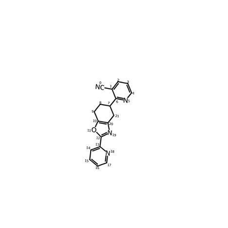 N#Cc1cccnc1C1CCc2oc(-c3ccccn3)nc2C1